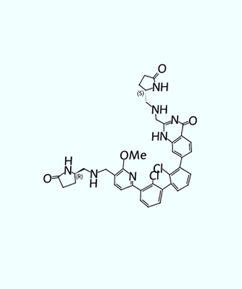 COc1nc(-c2cccc(-c3cccc(-c4ccc5c(=O)nc(CNC[C@@H]6CCC(=O)N6)[nH]c5c4)c3Cl)c2Cl)ccc1CNC[C@H]1CCC(=O)N1